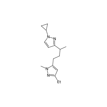 CCc1cc(CCC(C)c2ccn(C3CC3)n2)n(C)n1